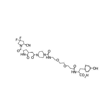 N#C[C@@H]1CC(F)(F)CN1C(=O)[C@@H]1C[C@@H](CC(=O)N2CCN(C(=O)NCCOCCOCCC(=O)N[C@@H](Cc3ccc(O)cc3)C(=O)O)CC2)C(=O)N1